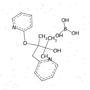 CC(C)(O)C(C)(Cc1ccccn1)Oc1ccccn1.OB(O)O